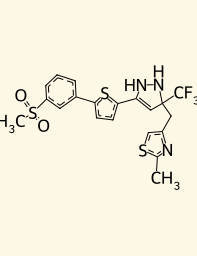 Cc1nc(CC2(C(F)(F)F)C=C(c3ccc(-c4cccc(S(C)(=O)=O)c4)s3)NN2)cs1